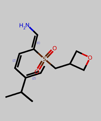 C\C=C(/C=C\C(=C/N)S(=O)(=O)CC1COC1)C(C)C